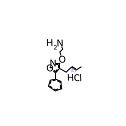 C/C=C/Cc1c(OCCN)noc1-c1ccccc1.Cl